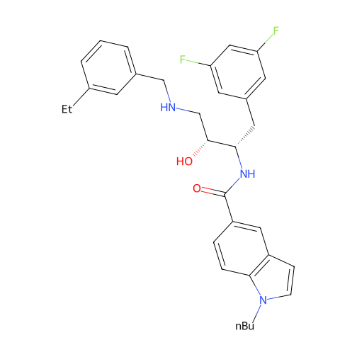 CCCCn1ccc2cc(C(=O)N[C@@H](Cc3cc(F)cc(F)c3)[C@H](O)CNCc3cccc(CC)c3)ccc21